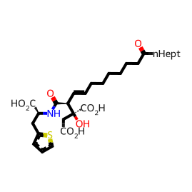 CCCCCCCC(=O)CCCCCC/C=C/[C@H](C(=O)N[C@@H](Cc1cccs1)C(=O)O)[C@@](O)(CC(=O)O)C(=O)O